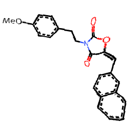 COc1ccc(CCN2C(=O)O/C(=C/c3ccc4ccccc4c3)C2=O)cc1